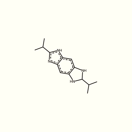 CC(C)c1nc2cc3c(cc2[nH]1)NC(C(C)C)N3